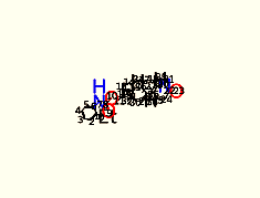 CCc1ccccc1NC(=O)OCC1CC[C@H]2[C@@H]3CC[C@H]4N(C)C(=O)CC[C@]4(C)[C@H]3CC[C@]12C